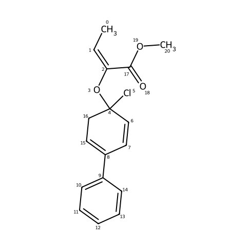 CC=C(OC1(Cl)C=CC(c2ccccc2)=CC1)C(=O)OC